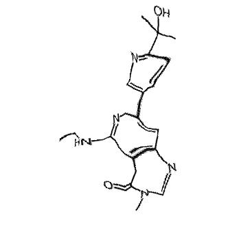 CCNc1nc(-c2ccc(C(C)(C)O)nc2)cc2ncn(C)c(=O)c12